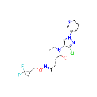 CCN(C(=O)CCC(C)=NOCC1CC1(F)F)c1cn(-c2cccnc2)nc1Cl